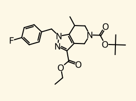 CCOC(=O)c1nn(Cc2ccc(F)cc2)c2c1CN(C(=O)OC(C)(C)C)CC2C